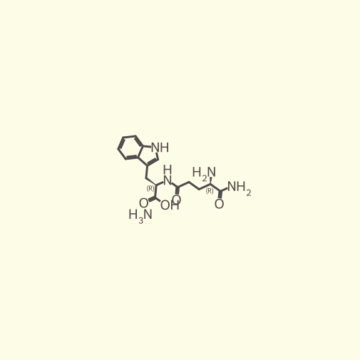 N.NC(=O)[C@H](N)CCC(=O)N[C@H](Cc1c[nH]c2ccccc12)C(=O)O